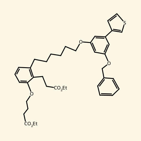 CCOC(=O)CCCOc1cccc(CCCCCCOc2cc(OCc3ccccc3)cc(-c3ccsc3)c2)c1CCC(=O)OCC